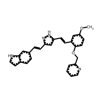 COc1ccc(OCc2ccccn2)c(C=Cc2cc(C=Cc3ccc4cc[nH]c4c3)n[nH]2)c1